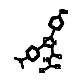 CCC(CC)NC(=O)c1nc(-c2ccc(C(C)(C)C)cc2)oc1-c1ccc(N(C)C)cc1